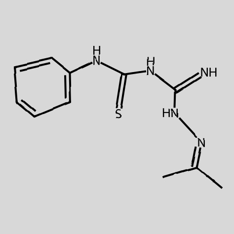 CC(C)=NNC(=N)NC(=S)Nc1ccccc1